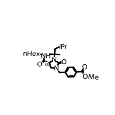 CCCCCCNC(=O)[C@@H]1CN(Cc2ccc(C(=O)OC)cc2)C(=O)N1C(C)(C)CC(C)C